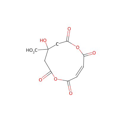 O=C1/C=C\C(=O)OC(=O)CC(O)(C(=O)O)CC(=O)O1